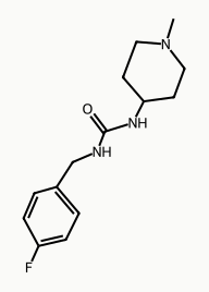 CN1CCC(NC(=O)NCc2ccc(F)cc2)CC1